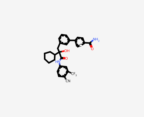 N#Cc1ccc(NC(=O)C(O)(Cc2cccc(-c3ccc(C(N)=O)cc3)c2)C2CCCCC2)cc1C(F)(F)F